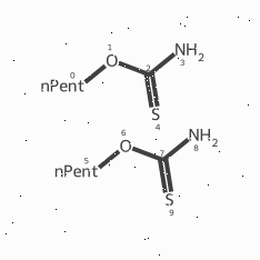 CCCCCOC(N)=S.CCCCCOC(N)=S